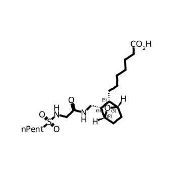 CCCCCS(=O)(=O)NCC(=O)NC[C@@H]1[C@H](CCCCCCC(=O)O)[C@@H]2CC[C@H]1O2